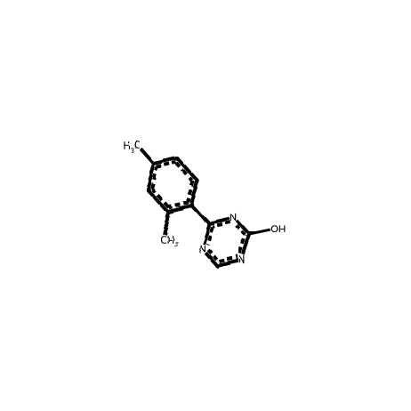 Cc1ccc(-c2ncnc(O)n2)c(C)c1